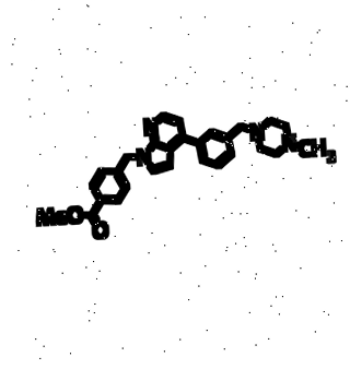 COC(=O)c1ccc(Cn2ccc3c(-c4cccc(CN5CCN(C)CC5)c4)ccnc32)cc1